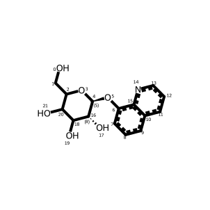 OCC1O[C@@H](Oc2cccc3cccnc23)[C@H](O)C(O)C1O